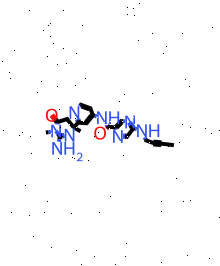 CC#CCNc1cnc(C(=O)Nc2ccnc(C3(C)CC(=O)N(C)C(N)=N3)c2)cn1